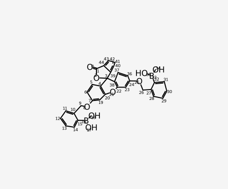 O=C1OC2(c3ccc(OCc4ccccc4B(O)O)cc3Oc3cc(OCc4ccccc4B(O)O)ccc32)c2ccccc21